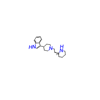 c1ccc2c(C3CCN(CC[C@@H]4CCCCN4)CC3)c[nH]c2c1